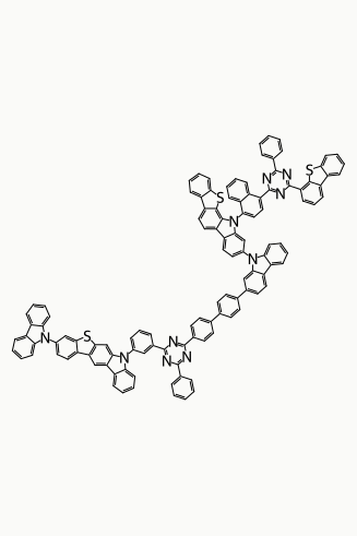 c1ccc(-c2nc(-c3ccc(-c4ccc(-c5ccc6c7ccccc7n(-c7ccc8c9ccc%10c%11ccccc%11sc%10c9n(-c9ccc(-c%10nc(-c%11ccccc%11)nc(-c%11cccc%12c%11sc%11ccccc%11%12)n%10)c%10ccccc9%10)c8c7)c6c5)cc4)cc3)nc(-c3cccc(-n4c5ccccc5c5cc6c(cc54)sc4cc(-n5c7ccccc7c7ccccc75)ccc46)c3)n2)cc1